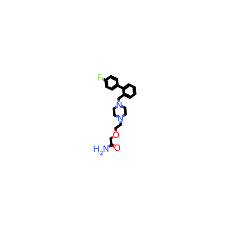 NC(=O)COCCN1CCN(Cc2ccccc2-c2ccc(F)cc2)CC1